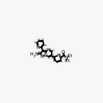 CCN(CC)C(=O)c1cccc(-c2cnc3c(-c4ccccn4)c(N)nn3c2)n1